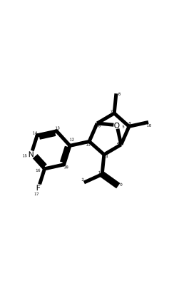 C=C(C)C1C2OC(C(C)C2C)C1c1ccnc(F)c1